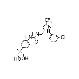 CC(CO)(CO)c1ccc(NC(=O)NCc2cc(C(F)(F)F)nn2-c2cccc(Cl)c2)cc1